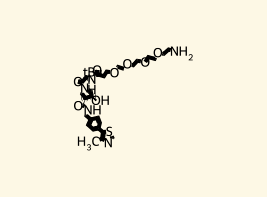 Cc1ncsc1-c1ccc(CNC(=O)[C@@H]2CN(C(=O)[C@H](NC(=O)CCOCCOCCOCCOCCN)C(C)(C)C)C[C@H]2O)cc1